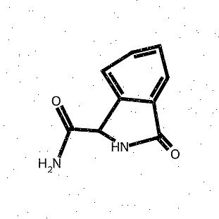 NC(=O)C1NC(=O)c2ccccc21